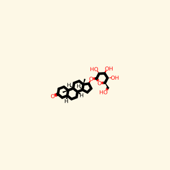 C[C@]12CCC(=O)C[C@H]1CC[C@@H]1[C@@H]2CC[C@]2(C)[C@@H](OC3O[C@H](CO)[C@@H](O)[C@H](O)[C@H]3O)CC[C@@H]12